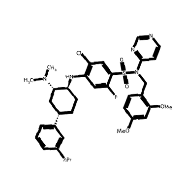 CCCc1cccc([C@H]2CC[C@H](Nc3cc(F)c(S(=O)(=O)N(Cc4ccc(OC)cc4OC)c4ccncn4)cc3Cl)[C@@H](N(C)C)C2)c1